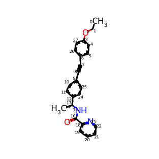 CCOc1ccc(C#Cc2ccc(C(C)NC(=O)c3ccccn3)cc2)cc1